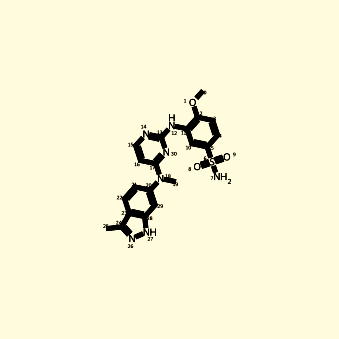 COc1ccc(S(N)(=O)=O)cc1Nc1nccc(N(C)c2ccc3c(C)n[nH]c3c2)n1